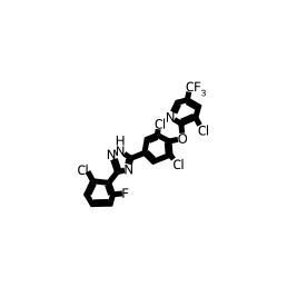 Fc1cccc(Cl)c1-c1n[nH]c(-c2cc(Cl)c(Oc3ncc(C(F)(F)F)cc3Cl)c(Cl)c2)n1